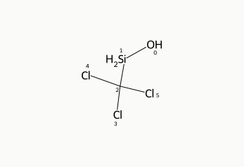 O[SiH2]C(Cl)(Cl)Cl